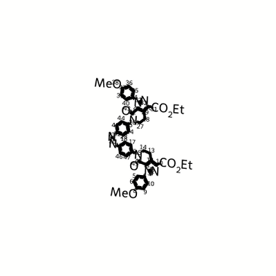 CCOC(=O)c1nn(-c2ccc(OC)cc2)c2c1CCN(c1ccc(/N=N\c3ccc(N4CCc5c(C(=O)OCC)nn(-c6ccc(OC)cc6)c5C4=O)cc3)cc1)C2=O